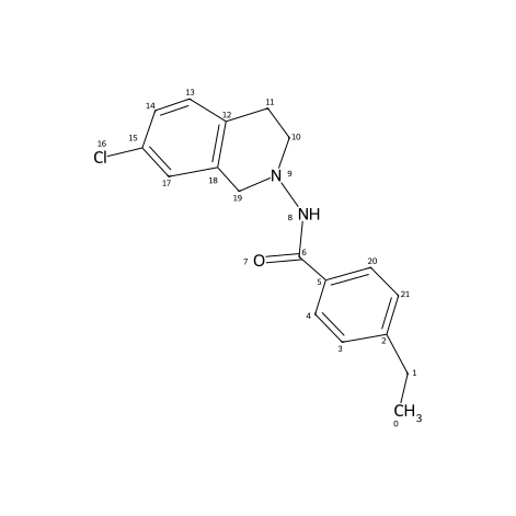 CCc1ccc(C(=O)NN2CCc3ccc(Cl)cc3C2)cc1